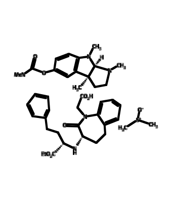 CCOC(=O)[C@H](CCc1ccccc1)N[C@H]1CCc2ccccc2N(CC(=O)O)C1=O.CNC(=O)Oc1ccc2c(c1)[C@]1(C)CCN(C)[C@@H]1N2C.C[S+](C)[O-]